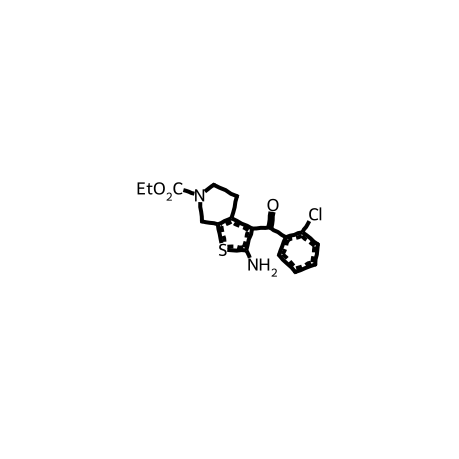 CCOC(=O)N1CCc2c(sc(N)c2C(=O)c2ccccc2Cl)C1